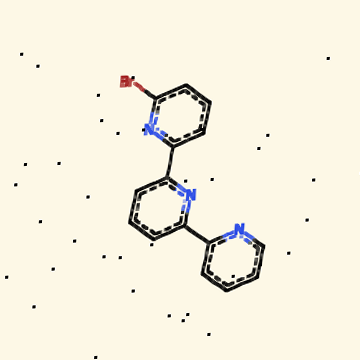 Brc1cccc(-c2cccc(-c3ccccn3)n2)n1